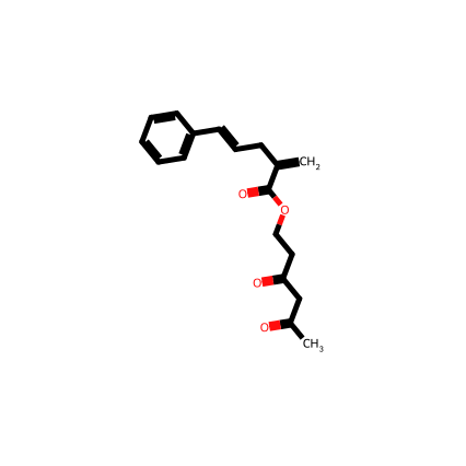 C=C(CC=Cc1ccccc1)C(=O)OCCC(=O)CC(C)=O